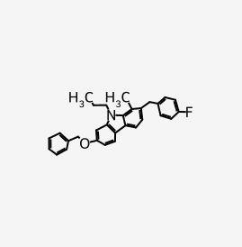 CCCn1c2cc(OCc3ccccc3)ccc2c2ccc(Cc3ccc(F)cc3)c(C)c21